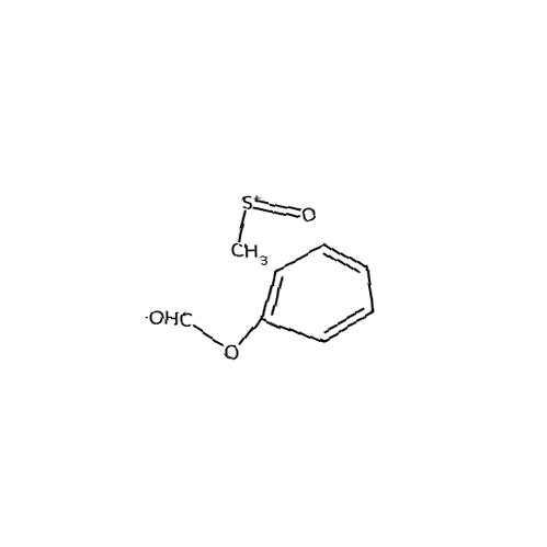 C[S+]=O.O=[C]Oc1ccccc1